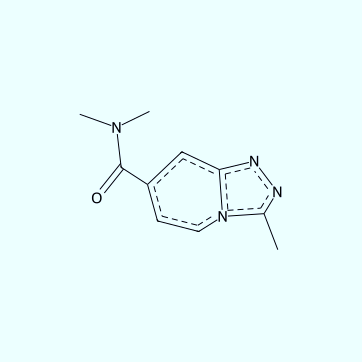 Cc1nnc2cc(C(=O)N(C)C)ccn12